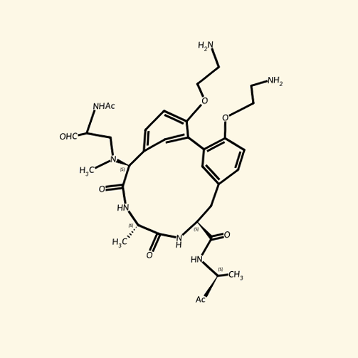 CC(=O)NC(C=O)CN(C)[C@@H]1C(=O)N[C@@H](C)C(=O)N[C@H](C(=O)N[C@@H](C)C(C)=O)Cc2ccc(OCCN)c(c2)-c2cc1ccc2OCCN